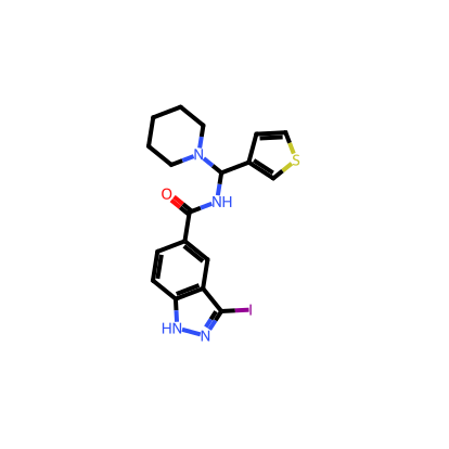 O=C(NC(c1ccsc1)N1CCCCC1)c1ccc2[nH]nc(I)c2c1